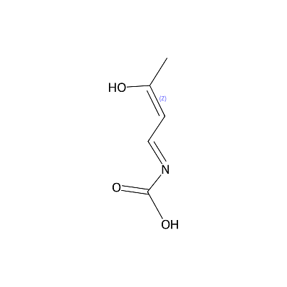 C/C(O)=C/C=NC(=O)O